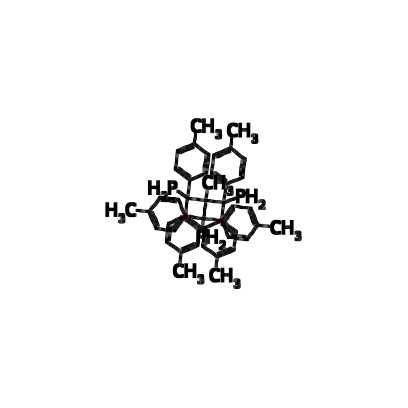 Cc1ccc(C(P)(c2ccc(C)cc2)C(C)(C(P)(c2ccc(C)cc2)c2ccc(C)cc2)C(P)(c2ccc(C)cc2)c2ccc(C)cc2)cc1